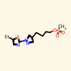 CCc1cnc(-n2cc(CCCCOS(C)(=O)=O)cn2)s1